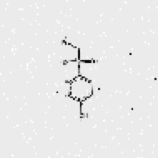 CC(C)CS(=O)(=O)c1ccc(O)cc1